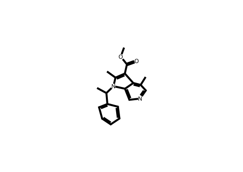 COC(=O)c1c(C)n(C(C)c2ccccc2)c2cncc(C)c12